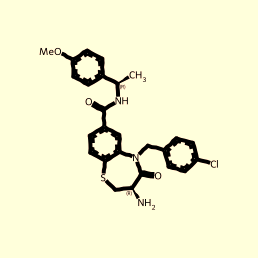 COc1ccc([C@@H](C)NC(=O)c2ccc3c(c2)N(Cc2ccc(Cl)cc2)C(=O)[C@@H](N)CS3)cc1